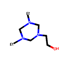 CCN1CN(CC)CN(CCO)C1